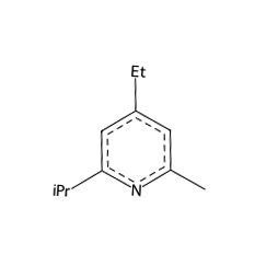 CCc1cc(C)nc(C(C)C)c1